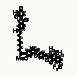 COc1cc2c(Oc3ccc(NC(=O)c4c(C)n(C)c5ccc(OC(F)(F)F)cc5c4=O)cc3F)ncnc2cc1C1CC1CCCCCCCCNc1ccc2c(c1)CN(C1CCC(=O)NC1=O)C2=O